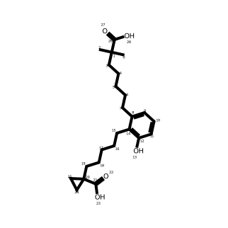 CC(C)(CCCCCc1cccc(O)c1CCCCCC1(C(=O)O)CC1)C(=O)O